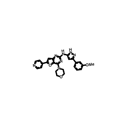 COc1cccc(-c2cc(Nc3nc(N4CCOCC4)c4oc(-c5ccncc5)cc4n3)[nH]n2)c1